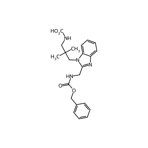 CC(C)(CNC(=O)O)Cn1c(CNC(=O)OCc2ccccc2)nc2ccccc21